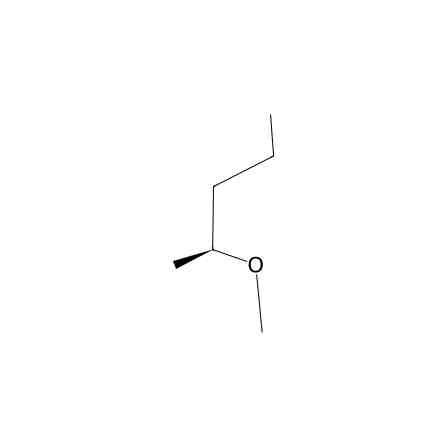 CCC[C@H](C)OC